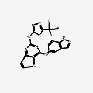 FC(F)(F)c1nnc(Nc2nc(Nc3ccc4[nH]ncc4c3)c3sccc3n2)s1